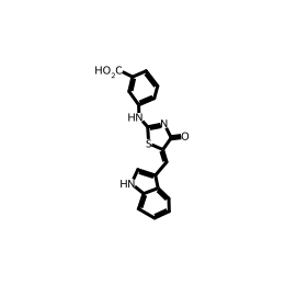 O=C1N=C(Nc2cccc(C(=O)O)c2)SC1=Cc1c[nH]c2ccccc12